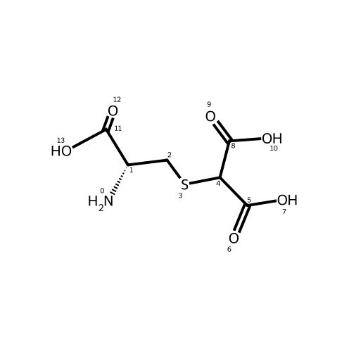 N[C@@H](CSC(C(=O)O)C(=O)O)C(=O)O